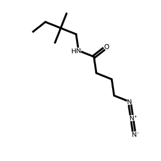 CCC(C)(C)CNC(=O)CCCN=[N+]=[N-]